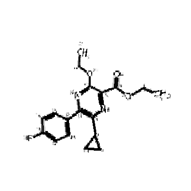 CCOC(=O)c1nc(C2CC2)c(-c2ccc(F)cc2)nc1OCC